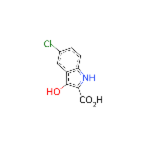 O=C(O)c1[nH]c2ccc(Cl)cc2c1O